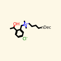 CCCCCCCCCCCCCC[N+](C)(C)Cc1ccccc1C(C)O.[Cl-]